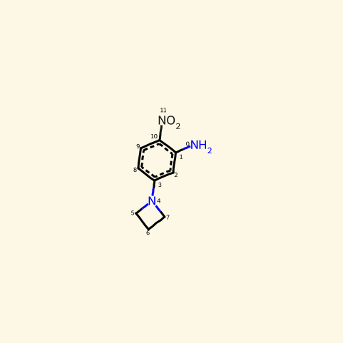 Nc1cc(N2CCC2)ccc1[N+](=O)[O-]